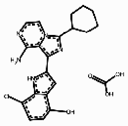 Nc1nccn2c(C3CCCCC3)nc(-c3cc4c(O)ccc(Cl)c4[nH]3)c12.O=C(O)O